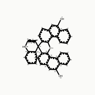 Oc1cc2ccc3c(c2c2ccccc12)Oc1c(ccc2cc(O)c4ccccc4c12)C31c2ccccc2Nc2ccccc21